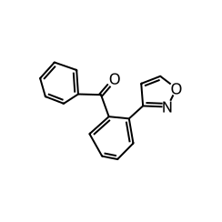 O=C(c1ccccc1)c1ccccc1-c1ccon1